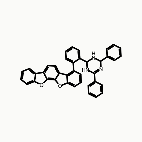 c1ccc(C2=NC(c3ccccc3)NC(c3ccccc3-c3cccc4oc5c(ccc6c7ccccc7oc65)c34)N2)cc1